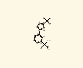 CC(C)(C)c1ccc(-c2cccc(C(F)(F)F)c2)o1